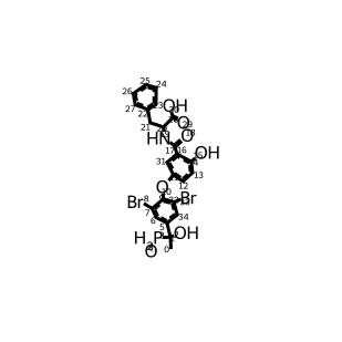 CC(O)([PH2]=O)c1cc(Br)c(Oc2ccc(O)c(C(=O)NC(Cc3ccccc3)C(=O)O)c2)c(Br)c1